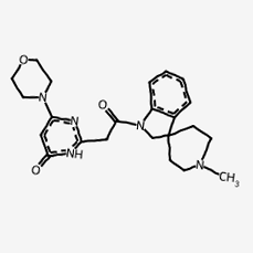 CN1CCC2(CC1)CN(C(=O)Cc1nc(N3CCOCC3)cc(=O)[nH]1)c1ccccc12